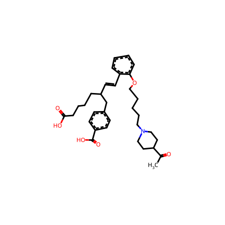 CC(=O)C1CCN(CCCCCOc2ccccc2/C=C/C(CCCCC(=O)O)Cc2ccc(C(=O)O)cc2)CC1